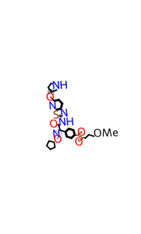 COCCCS(=O)(=O)c1ccc(/C(=N\OC2CCCC2)C(=O)Nc2nc3ccc(O[C@@H]4CCNC4)nc3s2)cc1